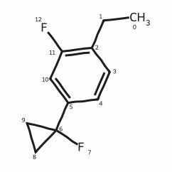 CCc1ccc(C2(F)CC2)cc1F